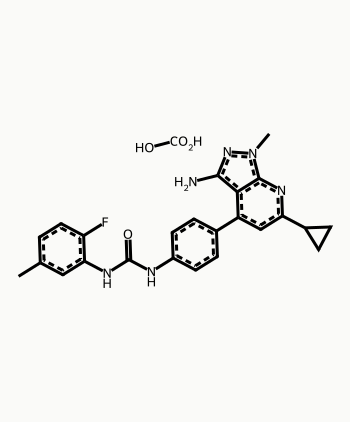 Cc1ccc(F)c(NC(=O)Nc2ccc(-c3cc(C4CC4)nc4c3c(N)nn4C)cc2)c1.O=C(O)O